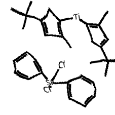 CC1=[C]([Ti][C]2=C(C)C=C(C(C)(C)C)C2)CC(C(C)(C)C)=C1.Cl[Si](Cl)(c1ccccc1)c1ccccc1